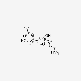 [2H]NCCOP(=O)(O)OC[C@@H](CO)OC(=O)CO